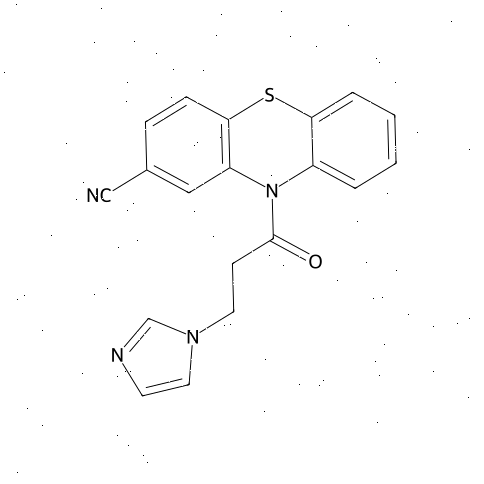 N#Cc1ccc2c(c1)N(C(=O)CCn1ccnc1)c1ccccc1S2